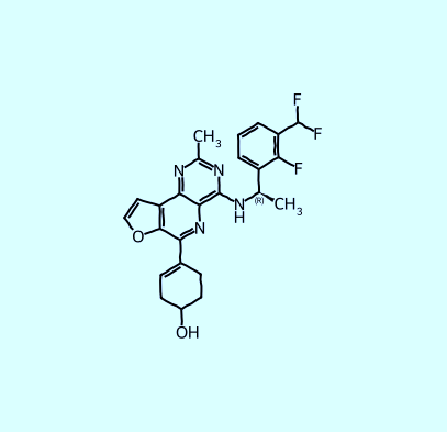 Cc1nc(N[C@H](C)c2cccc(C(F)F)c2F)c2nc(C3=CCC(O)CC3)c3occc3c2n1